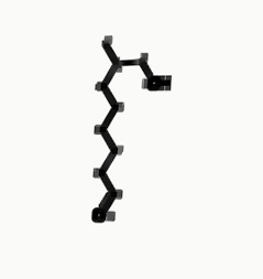 C[C](CO)CCCCCC=O